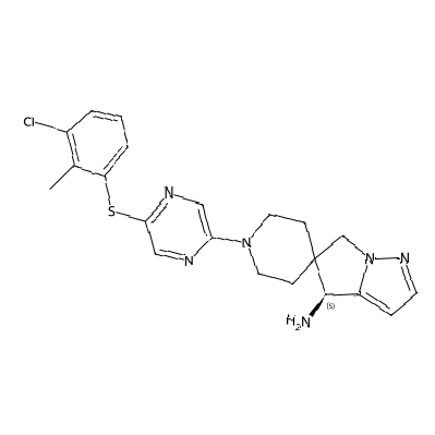 Cc1c(Cl)cccc1Sc1cnc(N2CCC3(CC2)Cn2nccc2[C@H]3N)cn1